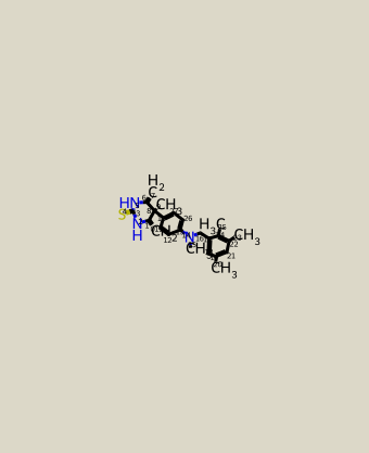 C=C1NC(=S)NC(=C)C1(C)c1ccc(N(C)Cc2cc(C)cc(C)c2C)cc1